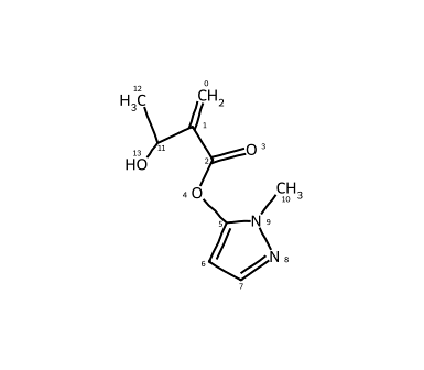 C=C(C(=O)Oc1ccnn1C)C(C)O